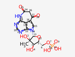 C[C@@]1(O)[C@H](O)[C@@H](COP(=O)(O)O)O[C@H]1n1cc2c3c(ncnc31)NC(=O)CC2=O